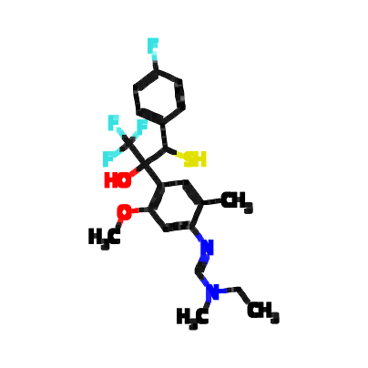 CCN(C)/C=N/c1cc(OC)c(C(O)(C(S)c2ccc(F)cc2)C(F)(F)F)cc1C